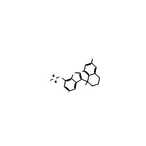 CC1(c2c[nH]c3c(NS(C)(=O)=O)cccc23)CCCc2cc(F)cc(F)c21